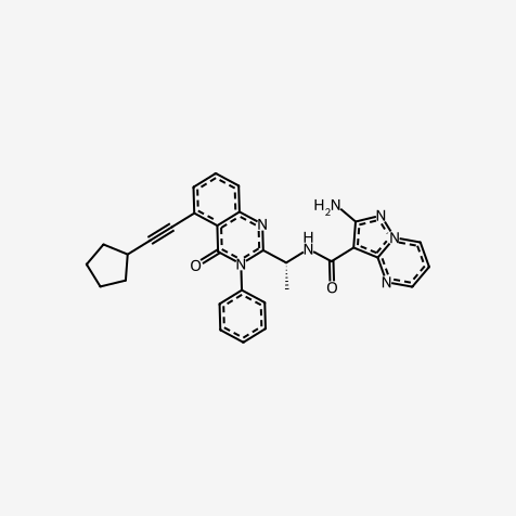 C[C@@H](NC(=O)c1c(N)nn2cccnc12)c1nc2cccc(C#CC3CCCC3)c2c(=O)n1-c1ccccc1